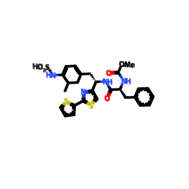 COC(=O)N[C@@H](Cc1ccccc1)C(=O)N[C@@H](CC1=CC=C(NS(=O)(=O)O)C(C)C1)c1csc(-c2cccs2)n1